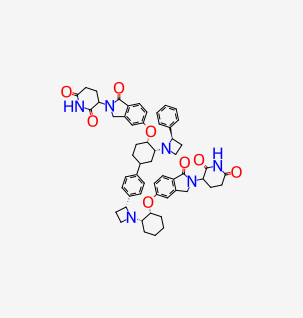 O=C1CCC(N2Cc3cc(O[C@H]4CCC(c5ccc([C@H]6CCN6[C@H]6CCCC[C@H]6Oc6ccc7c(c6)CN(C6CCC(=O)NC6=O)C7=O)cc5)C[C@H]4N4CC[C@@H]4c4ccccc4)ccc3C2=O)C(=O)N1